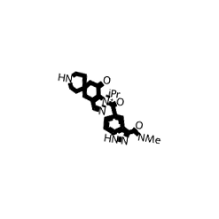 CNC(=O)c1n[nH]c2ccc(C(=O)[N+]3(C(C)C)N=CC4=C3C(=O)CC3(CCNCC3)C4)cc12